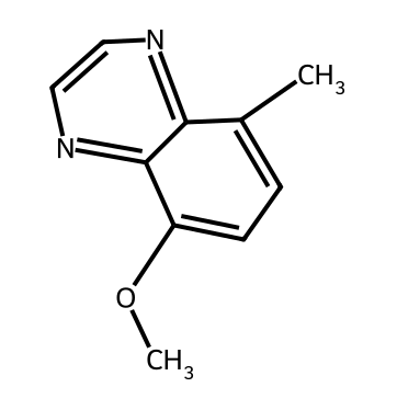 COc1ccc(C)c2nccnc12